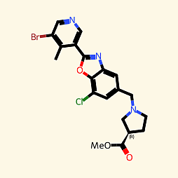 COC(=O)[C@@H]1CCN(Cc2cc(Cl)c3oc(-c4cncc(Br)c4C)nc3c2)C1